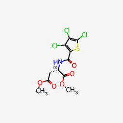 COC(=O)C[C@H](NC(=O)c1sc(Cl)c(Cl)c1Cl)C(=O)OC